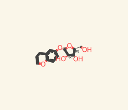 OC[C@H]1O[C@@H](Oc2ccc3c(c2)CC=CO3)[C@H](O)[C@H]1O